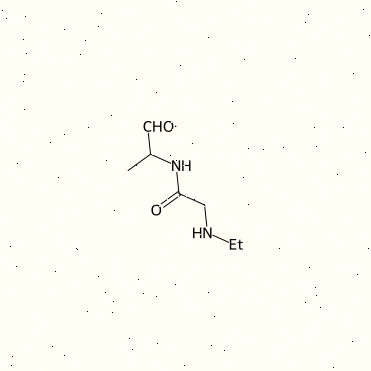 CCNCC(=O)NC(C)[C]=O